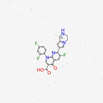 C[C@@H]1NCCn2cc(-c3nc4c(cc3F)c(=O)c(C(=O)O)cn4-c3ccc(F)cc3F)cc21